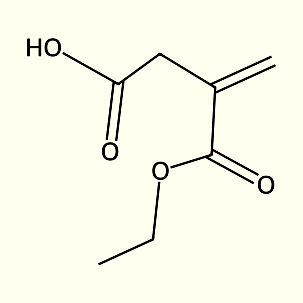 C=C(CC(=O)O)C(=O)OCC